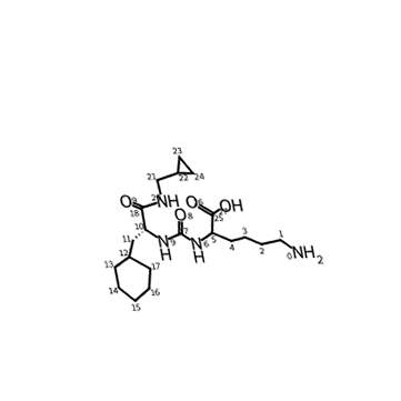 NCCCCC(NC(=O)N[C@H](CC1CCCCC1)C(=O)NCC1CC1)C(=O)O